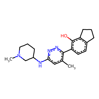 Cc1cc(NC2CCCN(C)C2)nnc1-c1ccc2c(c1O)CCC2